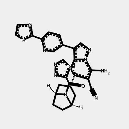 N#Cc1c([C@@H]2C[C@H]3CC[C@@H](C2)N3C(=O)c2nnc[nH]2)nc2c(-c3ccc(-c4nccs4)nc3)cnn2c1N